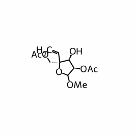 C=C[C@]1(COC(C)=O)OC(OC)[C@H](OC(C)=O)[C@@H]1O